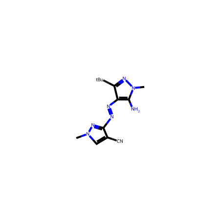 Cn1cc(C#N)c(N=Nc2c(C(C)(C)C)nn(C)c2N)n1